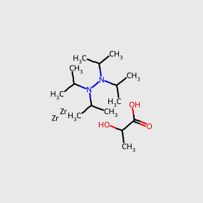 CC(C)N(C(C)C)N(C(C)C)C(C)C.CC(O)C(=O)O.[Zr].[Zr]